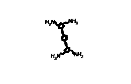 NCCc1cc(C#Cc2ccc(C#Cc3cc(CCN)cc(CCN)c3)cc2)cc(CCN)c1